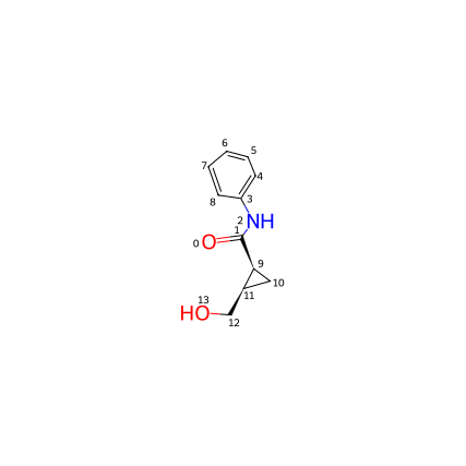 O=C(Nc1ccccc1)[C@H]1C[C@H]1CO